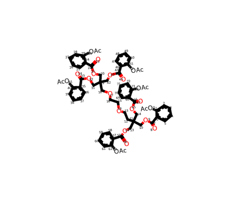 CC(=O)Oc1ccccc1C(=O)OCC(CCOCCOCC(COC(=O)c1ccccc1OC(C)=O)(COC(=O)c1ccccc1OC(C)=O)COC(=O)c1ccccc1OC(C)=O)(COC(=O)c1ccccc1OC(C)=O)COC(=O)c1ccccc1OC(C)=O